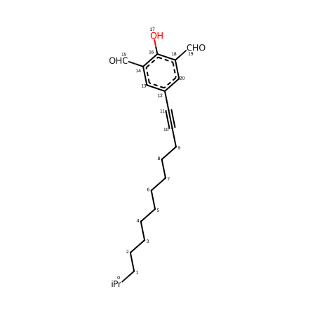 CC(C)CCCCCCCCCC#Cc1cc(C=O)c(O)c(C=O)c1